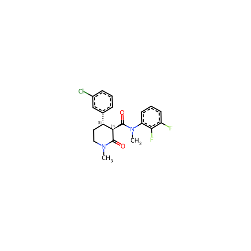 CN1CC[C@H](c2cccc(Cl)c2)[C@@H](C(=O)N(C)c2cccc(F)c2F)C1=O